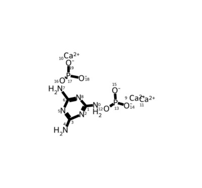 Nc1nc(N)nc(N)n1.[Ca+2].[Ca+2].[Ca+2].[O-]P([O-])[O-].[O-]P([O-])[O-]